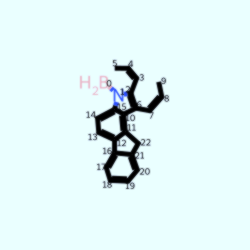 Bn1c(/C=C\C)c(/C=C\C)c2c3c(ccc21)-c1ccccc1C3